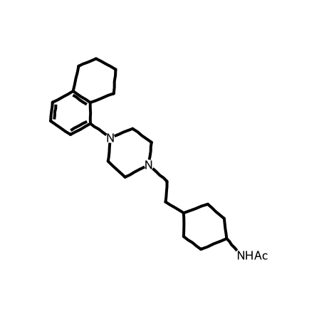 CC(=O)NC1CCC(CCN2CCN(c3cccc4c3CCCC4)CC2)CC1